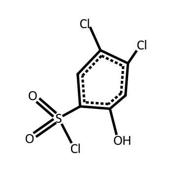 O=S(=O)(Cl)c1cc(Cl)c(Cl)cc1O